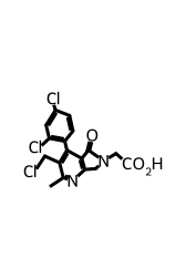 Cc1nc2c(c(-c3ccc(Cl)cc3Cl)c1CCl)C(=O)N(CC(=O)O)C2